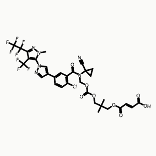 Cn1nc(C(F)(F)C(F)(F)F)c(C(F)(F)F)c1-n1cc(-c2ccc(Cl)c(C(=O)N(COC(=O)OCC(C)(C)COC(=O)/C=C/C(=O)O)C3(C#N)CC3)c2)cn1